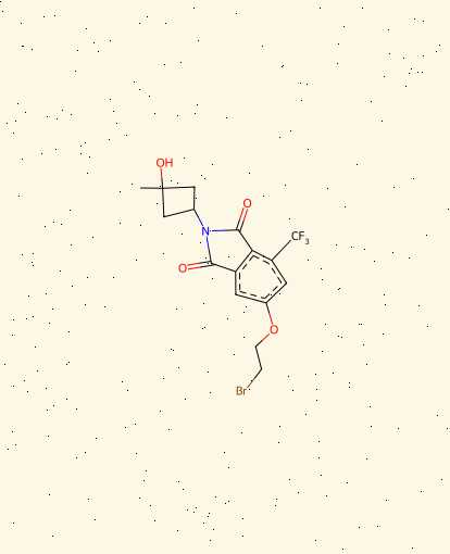 CC1(O)CC(N2C(=O)c3cc(OCCBr)cc(C(F)(F)F)c3C2=O)C1